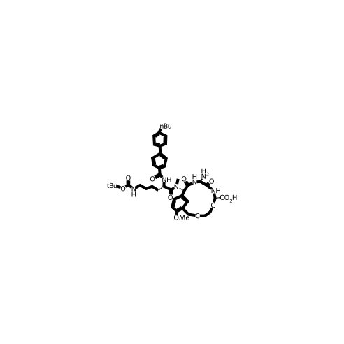 CCCCc1ccc(-c2ccc(C(=O)N[C@@H](CCCCNC(=O)OC(C)(C)C)C(=O)N(C)[C@@H]3C(=O)N[C@@H](N)C(=O)N[C@H](C(=O)O)CCCCCc4cc3ccc4OC)cc2)cc1